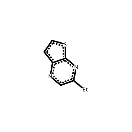 CCc1cnc2ccsc2n1